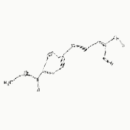 COC(=O)c1ccc(OCC=C(C)C)cc1